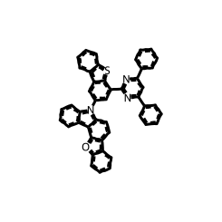 c1ccc(-c2cc(-c3ccccc3)nc(-c3cc(-n4c5ccccc5c5c6oc7ccccc7c6ccc54)cc4c3sc3ccccc34)n2)cc1